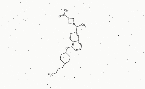 CCCCC1CCC(Oc2cccc3cc(C(C)N4CC(C(=O)O)C4)ccc23)CC1